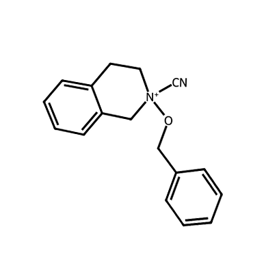 N#C[N+]1(OCc2ccccc2)CCc2ccccc2C1